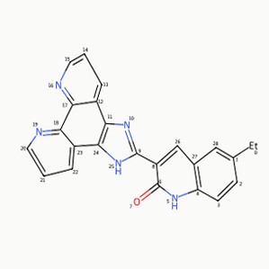 CCc1ccc2[nH]c(=O)c(-c3nc4c5cccnc5c5ncccc5c4[nH]3)cc2c1